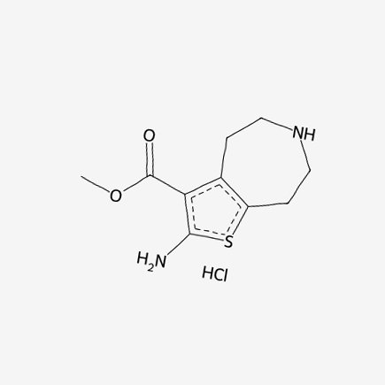 COC(=O)c1c(N)sc2c1CCNCC2.Cl